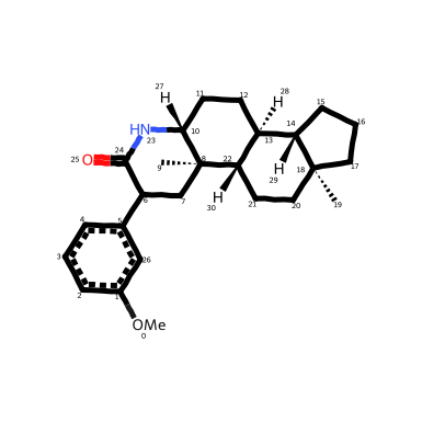 COc1cccc(C2C[C@@]3(C)[C@@H](CC[C@H]4[C@@H]5CCC[C@@]5(C)CC[C@@H]43)NC2=O)c1